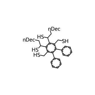 CCCCCCCCCCCC(S)c1c(CS)c(-c2ccccc2)c(-c2ccccc2)c(CS)c1C(S)CCCCCCCCCCC